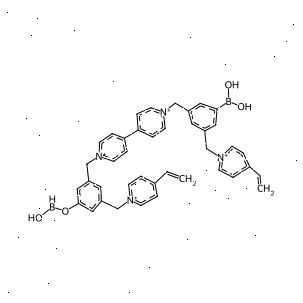 C=Cc1cc[n+](Cc2cc(C[n+]3ccc(-c4cc[n+](Cc5cc(C[n+]6ccc(C=C)cc6)cc(B(O)O)c5)cc4)cc3)cc(OBO)c2)cc1